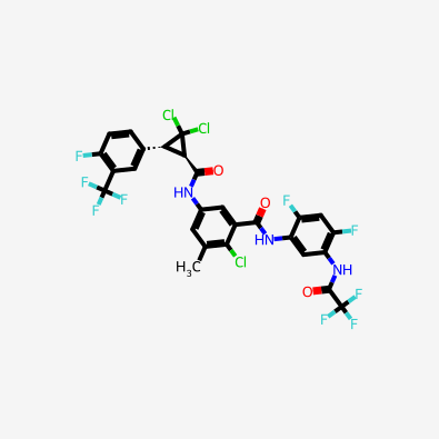 Cc1cc(NC(=O)[C@H]2[C@H](c3ccc(F)c(C(F)(F)F)c3)C2(Cl)Cl)cc(C(=O)Nc2cc(NC(=O)C(F)(F)F)c(F)cc2F)c1Cl